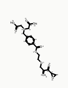 C=C(COCCOC(=O)c1ccc(CN(CC(=O)O)CC(=O)O)cc1)C(=O)C1CO1